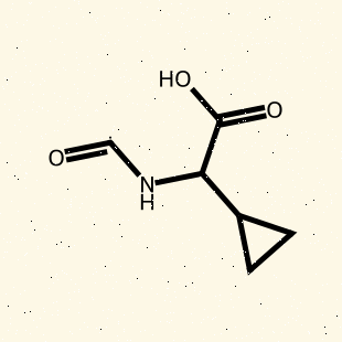 O=[C]NC(C(=O)O)C1CC1